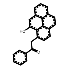 O=C(Cc1ccc2ccc3cccc4cc(O)c1c2c34)c1ccccc1